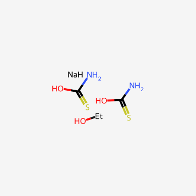 CCO.NC(O)=S.NC(O)=S.[NaH]